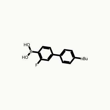 CCCCc1ccc(-c2ccc(B(O)O)c(F)c2)cc1